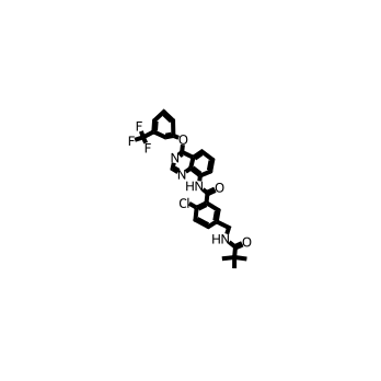 CC(C)(C)C(=O)NCc1ccc(Cl)c(C(=O)Nc2cccc3c(Oc4cccc(C(F)(F)F)c4)ncnc23)c1